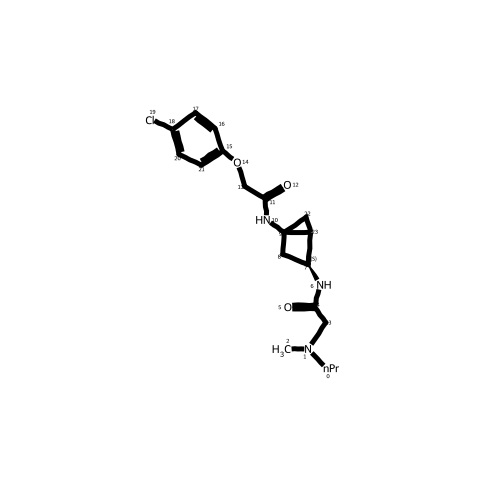 CCCN(C)CC(=O)N[C@H]1CC2(NC(=O)COc3ccc(Cl)cc3)CC12